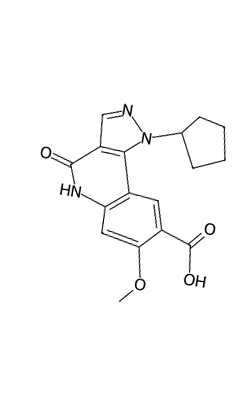 COc1cc2[nH]c(=O)c3cnn(C4CCCC4)c3c2cc1C(=O)O